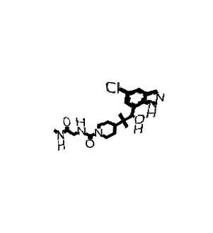 CNC(=O)CNC(=O)N1CCC(C(C)(C)[C@H](O)c2cc(Cl)cc3cn[nH]c23)CC1